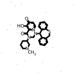 CN1CCCC(N2CN(C3c4ccccc4CSc4ccccc43)n3ccc(=O)c(O)c3C2=O)C1